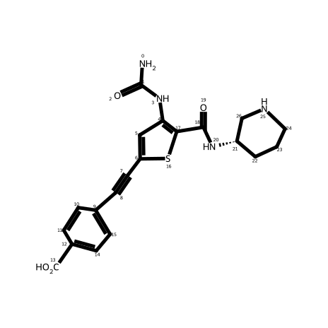 NC(=O)Nc1cc(C#Cc2ccc(C(=O)O)cc2)sc1C(=O)N[C@H]1CCCNC1